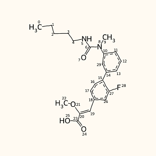 CCCCCNC(=O)N(C)c1cccc(-c2ccc(C=C(OC)C(=O)O)cc2F)c1